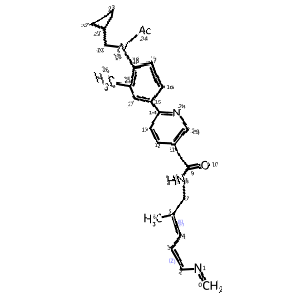 C=N/C=C\C=C(/C)CNC(=O)c1ccc(-c2ccc(N(CC3CC3)C(C)=O)c(C)c2)nc1